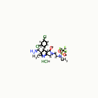 Cc1nc2c(c(-c3ccc(Cl)cc3Cl)c1CN)C(=O)N(CCN(C)S(=O)(=O)C(F)(F)F)C2.Cl